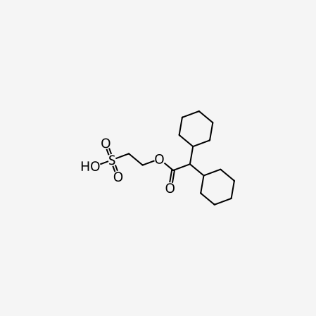 O=C(OCCS(=O)(=O)O)C(C1CCCCC1)C1CCCCC1